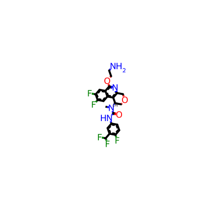 CN(C(=O)Nc1ccc(F)c(C(F)F)c1)[C@@H]1COCc2nc(OCCN)c3cc(F)c(F)cc3c21